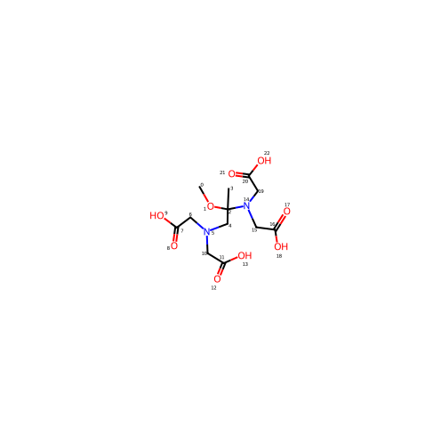 COC(C)(CN(CC(=O)O)CC(=O)O)N(CC(=O)O)CC(=O)O